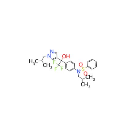 CC(C)CN(c1ccc(C(O)(c2cnn(CC(C)C)c2)C(F)(F)F)cc1)S(=O)(=O)c1ccccc1